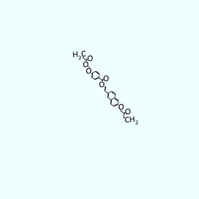 C=CC(=O)COc1ccc2cc(/C=C/OC(=O)c3ccc(OCOC(=O)C=C)cc3)ccc2c1